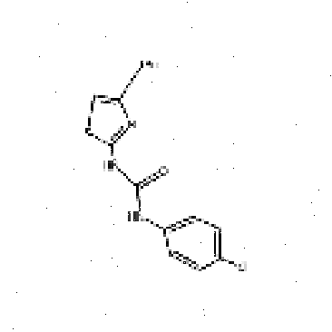 CC(C)(C)c1csc(NC(=O)Nc2ccc(Cl)cc2)n1